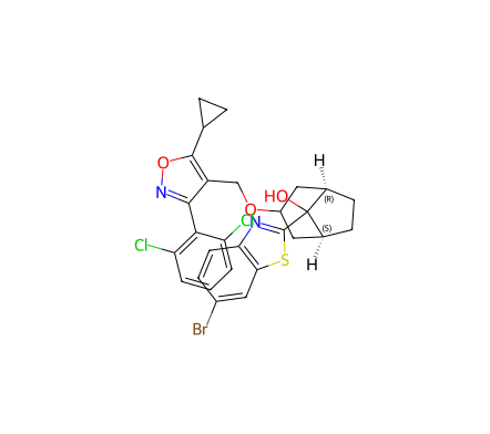 OC1(c2nc3ccc(Br)cc3s2)[C@@H]2CC[C@H]1CC(OCc1c(-c3c(Cl)cccc3Cl)noc1C1CC1)C2